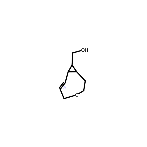 OCC1C2/C=C/CCCCC21